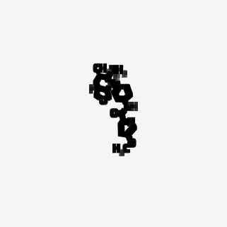 COc1ccc(C(=O)Nc2ccc(F)c([C@]34COC[C@@]3(F)C[C@H](C)C(N)=N4)c2)nc1